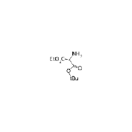 CCOC(=O)C(N)C(=O)OC(C)(C)C